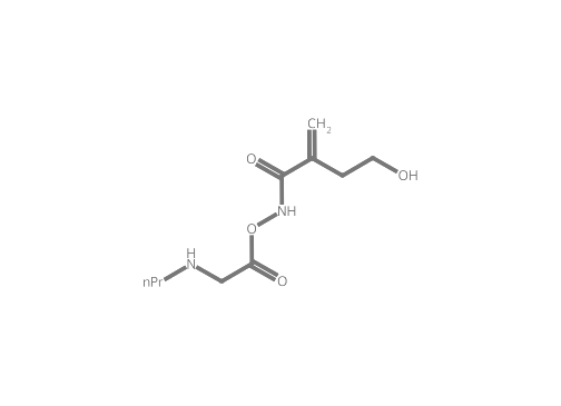 C=C(CCO)C(=O)NOC(=O)CNCCC